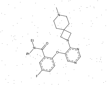 CCN(C(=O)c1cc(F)ccc1Oc1cncnc1N1CC2(CCN(C)CC2)C1)C(C)C